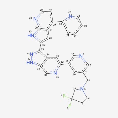 FC1(F)CCN(Cc2cncc(-c3cc4c(-c5cc6c(-c7ccccn7)ccnc6[nH]5)n[nH]c4cn3)c2)C1